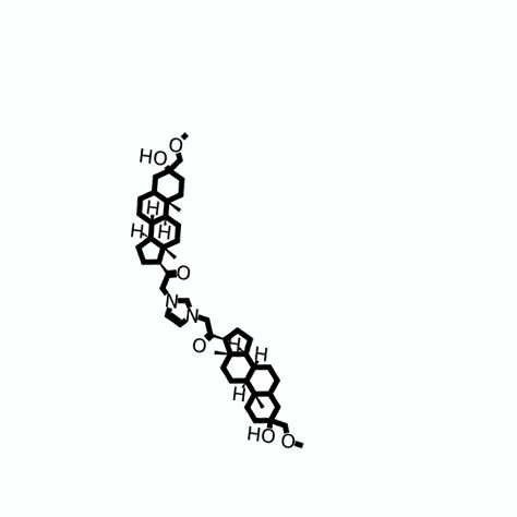 COCC1(O)CC[C@@]2(C)C(CC[C@H]3[C@@H]4CC[C@H](C(=O)CN5C=CN(CC(=O)[C@H]6CC[C@H]7[C@@H]8CCC9CC(O)(COC)CC[C@]9(C)[C@H]8CC[C@]67C)C5)[C@@]4(C)CC[C@@H]32)C1